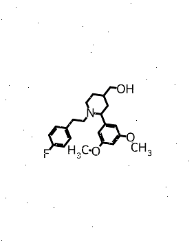 COc1cc(OC)cc(C2CC(CO)CCN2CCc2ccc(F)cc2)c1